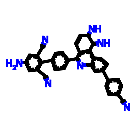 N#Cc1ccc(-c2ccc3c4c(c(-c5ccc(-c6c(C#N)cc(N)cc6C#N)cc5)nc3c2)C=CC(=N)C4=N)cc1